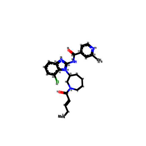 CNC/C=C/C(=O)N1CCCCC(n2c(NC(=O)c3ccnc(C)c3)nc3cccc(Cl)c32)C1